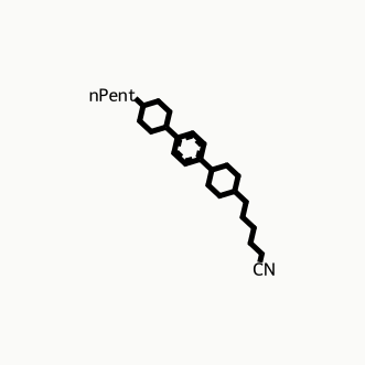 CCCCCC1CCC(c2ccc(C3CCC(CCCCCC#N)CC3)cc2)CC1